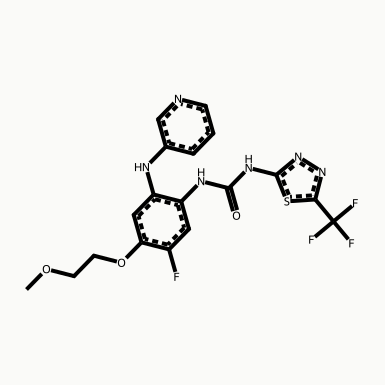 COCCOc1cc(Nc2cccnc2)c(NC(=O)Nc2nnc(C(F)(F)F)s2)cc1F